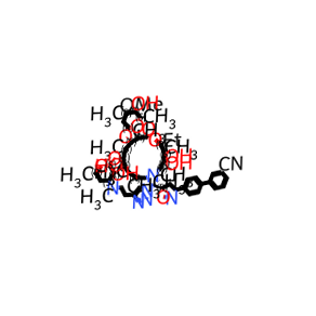 CC[C@H]1OC(=O)[C@H](C)[C@@H](O[C@H]2C[C@@](C)(OC)[C@@H](O)[C@H](C)O2)[C@H](C)[C@@H](O[C@@H]2O[C@H](C)C[C@H](N(C)CCc3cn(C[C@H]4CC(c5ccc(-c6cccc(C#N)c6)cc5)=NO4)nn3)[C@H]2O)[C@](C)(O)C[C@@H](C)CN(C)[C@H](C)[C@@H](O)[C@]1(C)O